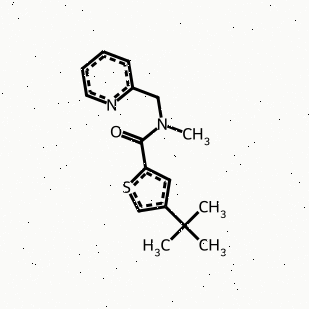 CN(Cc1ccccn1)C(=O)c1cc(C(C)(C)C)cs1